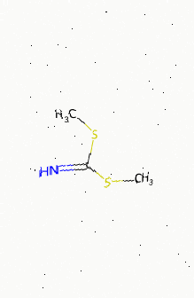 CSC(=N)SC